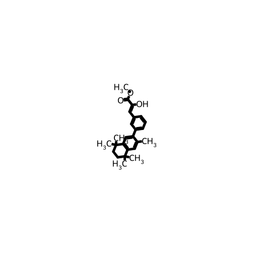 COC(=O)C(O)=Cc1cccc(-c2cc3c(cc2C)C(C)(C)CCC3(C)C)c1